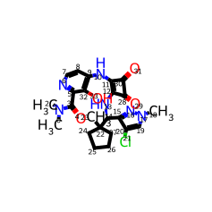 CN(C)C(=O)c1nccc(Nc2c(N[C@@H](c3nn(C)cc3Cl)C3(C)CCCC3)c(=O)c2=O)c1O